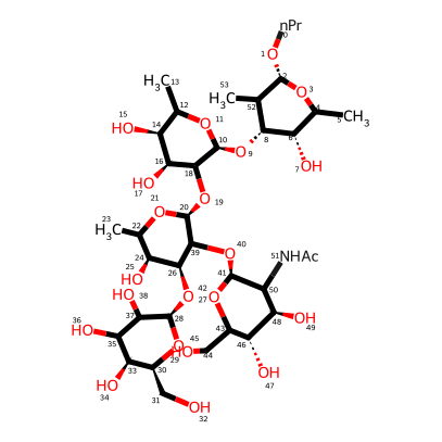 CCCO[C@@H]1OC(C)[C@H](O)[C@H](O[C@@H]2OC(C)[C@H](O)[C@H](O)C2O[C@@H]2OC(C)[C@H](O)[C@H](O[C@H]3O[C@@H](CO)[C@@H](O)C(O)C3O)C2O[C@@H]2OC(CO)[C@@H](O)[C@H](O)C2NC(C)=O)C1C